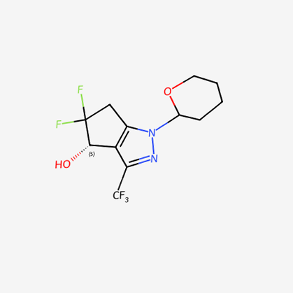 O[C@H]1c2c(C(F)(F)F)nn(C3CCCCO3)c2CC1(F)F